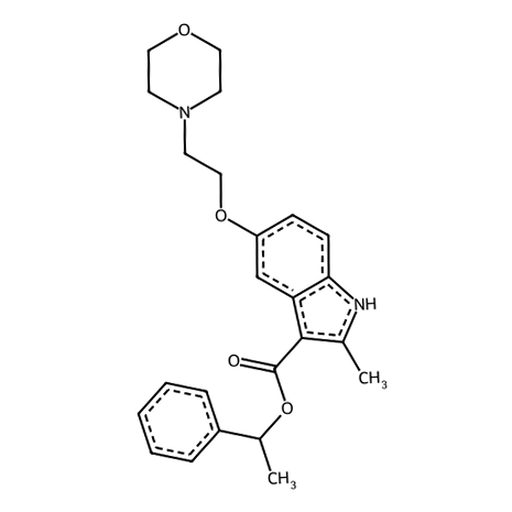 Cc1[nH]c2ccc(OCCN3CCOCC3)cc2c1C(=O)OC(C)c1ccccc1